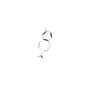 CCC(=O)N1CCc2ccc(Br)cc2CC1